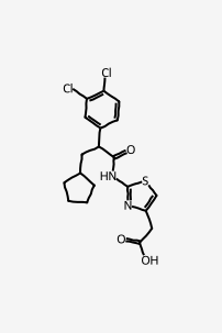 O=C(O)Cc1csc(NC(=O)C(CC2CCCC2)c2ccc(Cl)c(Cl)c2)n1